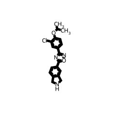 CC(C)Oc1ccc(-c2noc(-c3ccc4c(c3)CNC4)n2)cc1Cl